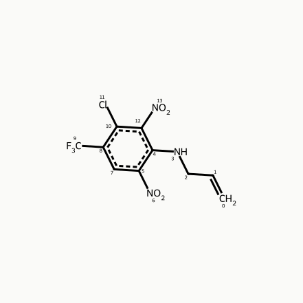 C=CCNc1c([N+](=O)[O-])cc(C(F)(F)F)c(Cl)c1[N+](=O)[O-]